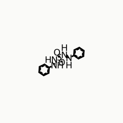 O=S(=O)(NNc1ccccc1)NNc1ccccc1